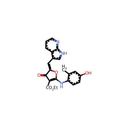 CCOC(=O)C1=C(Nc2ccc(O)cc2C)OC(=Cc2c[nH]c3ncccc23)C1=O